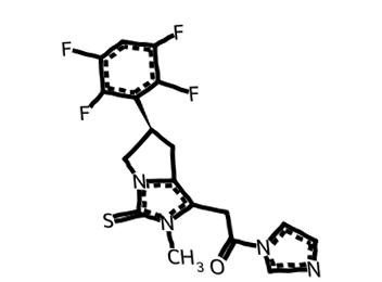 Cn1c(CC(=O)n2ccnc2)c2n(c1=S)C[C@@H](c1c(F)c(F)cc(F)c1F)C2